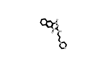 [O-][n+]1nc(NCCCN2CCOCC2)[n+]([O-])c2cc3c(cc21)CCCC3